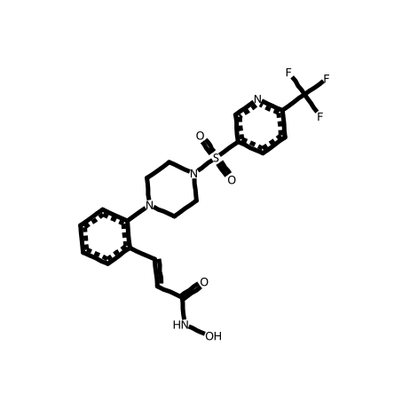 O=C(C=Cc1ccccc1N1CCN(S(=O)(=O)c2ccc(C(F)(F)F)nc2)CC1)NO